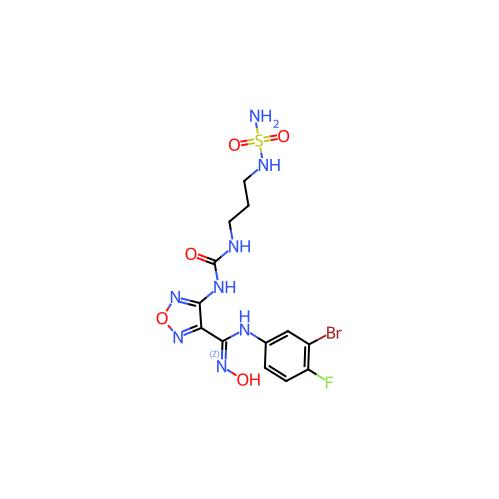 NS(=O)(=O)NCCCNC(=O)Nc1nonc1/C(=N/O)Nc1ccc(F)c(Br)c1